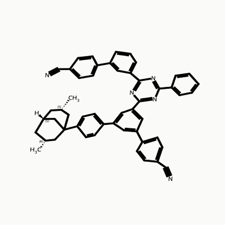 C[C@@H]1C[C@@H]2C[C@H](C)CC(c3ccc(-c4cc(-c5ccc(C#N)cc5)cc(-c5nc(-c6ccccc6)nc(-c6cccc(-c7ccc(C#N)cc7)c6)n5)c4)cc3)(C1)C2